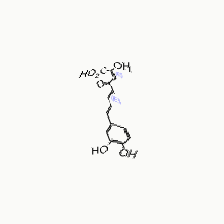 O=C(/C=C/C=Cc1ccc(O)c(O)c1)/C=C(/O)C(=O)O